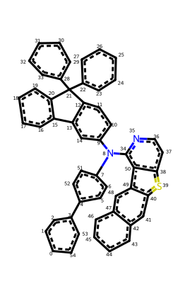 c1ccc(-c2ccc(N(c3ccc4c(c3)-c3ccccc3C4(c3ccccc3)c3ccccc3)c3nccc4sc5cc6ccccc6cc5c34)cc2)cc1